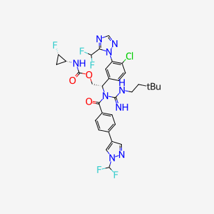 CC(C)(C)CCNC(=N)N(C(=O)c1ccc(-c2cnn(C(F)F)c2)cc1)[C@H](COC(=O)N[C@@H]1C[C@@H]1F)c1ccc(Cl)c(-n2ncnc2C(F)F)c1